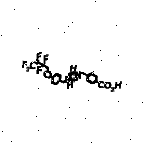 O=C(O)c1ccc(CN2C[C@@H]3C[C@H]2CN3Cc2ccc(OCC(F)(F)C(F)C(F)(F)F)cc2)cc1